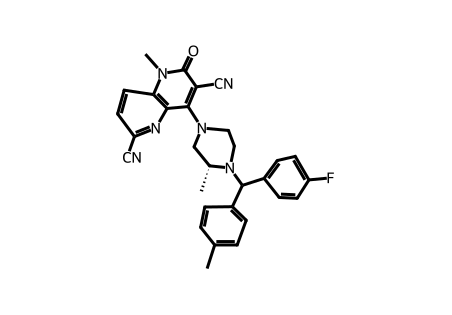 Cc1ccc(C(c2ccc(F)cc2)N2CCN(c3c(C#N)c(=O)n(C)c4ccc(C#N)nc34)C[C@H]2C)cc1